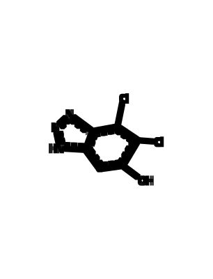 Oc1cc2[nH]nnc2c(Cl)c1Cl